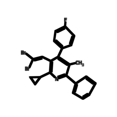 Cc1c(-c2ccccc2)nc(C2CC2)c(C=C(Br)Br)c1-c1ccc(F)cc1